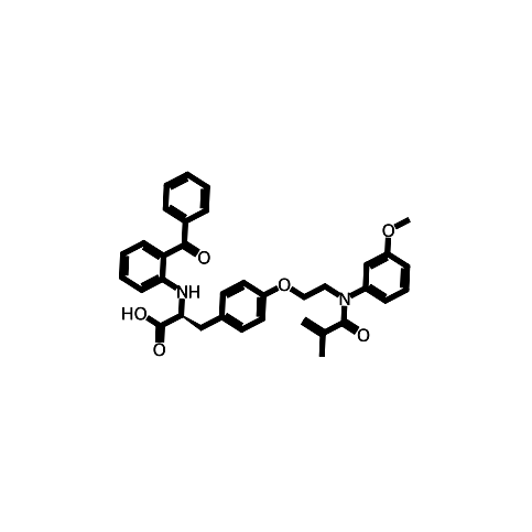 C=C(C)C(=O)N(CCOc1ccc(C[C@H](Nc2ccccc2C(=O)c2ccccc2)C(=O)O)cc1)c1cccc(OC)c1